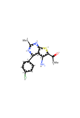 COC(=O)c1sc2nc(SC)nc(-c3ccc(Cl)cc3)c2c1N